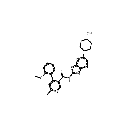 COc1ccccc1-c1cc(C)ncc1C(=O)Nc1nc2ncc([C@H]3CC[C@@H](O)CC3)nc2s1